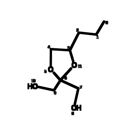 CCCC1COC(CO)(CO)O1